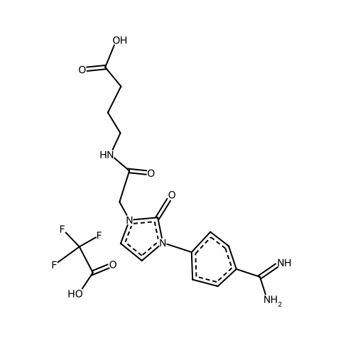 N=C(N)c1ccc(-n2ccn(CC(=O)NCCCC(=O)O)c2=O)cc1.O=C(O)C(F)(F)F